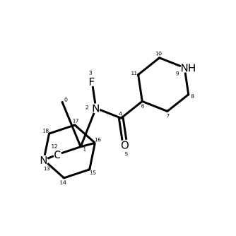 CC1(N(F)C(=O)C2CCNCC2)CN2CCC1CC2